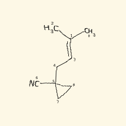 CC(C)=CCC1(C#N)CC1